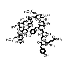 CC[C@H](C)[C@H](NC(=O)[C@@H](NC(=O)[C@H](Cc1ccc(O)cc1)NC(=O)[C@H](CO)NC(=O)CNC(=O)[C@H](Cc1ccc(O)cc1)NC(=O)[C@@H](N)CCC(N)=O)C(C)C)C(=O)N[C@@H](CCC(=O)O)C(=O)N[C@@H](Cc1c[nH]cn1)C(=O)N[C@H](C(=O)N[C@@H](CC(C)C)C(=O)N[C@@H](CCC(=O)O)C(=O)N[C@@H](Cc1c[nH]cn1)C(=O)NCC(=O)O)C(C)C